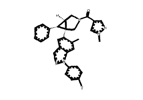 Cc1cc2c(cnn2-c2ccc(F)cc2)cc1[C@@]12CN(C(=O)c3cnn(C)c3)C[C@@H]1[C@H]2c1ccccc1